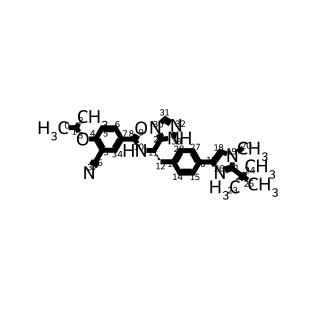 CC(C)Oc1ccc(C(=O)N[C@@H](Cc2ccc(-c3cn(C)c(C(C)(C)C)n3)cc2)c2ncn[nH]2)cc1C#N